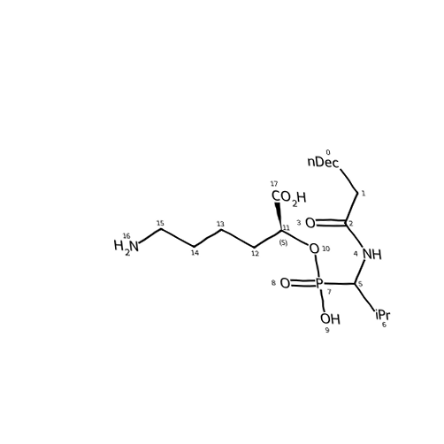 CCCCCCCCCCCC(=O)NC(C(C)C)P(=O)(O)O[C@@H](CCCCN)C(=O)O